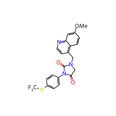 COc1ccc2c(CN3CC(=O)N(c4ccc(SC(F)(F)F)cc4)C3=O)ccnc2c1